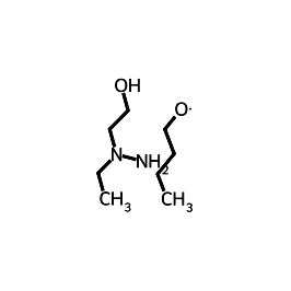 CCCC[O].CCN(N)CCO